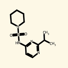 CC(C)c1nccc(NS(=O)(=O)N2CCCCC2)n1